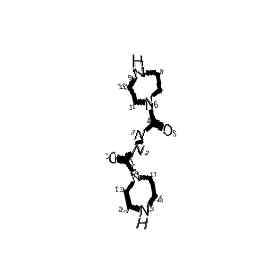 O=C(N=NC(=O)N1CCNCC1)N1CCNCC1